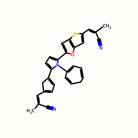 C/C(C#N)=C/C1=CC=C(c2ccc(-c3cc4sc(/C=C(/C)C#N)cc4o3)n2C2=CC=CCC=C2)C1